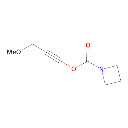 COCC#COC(=O)N1CCC1